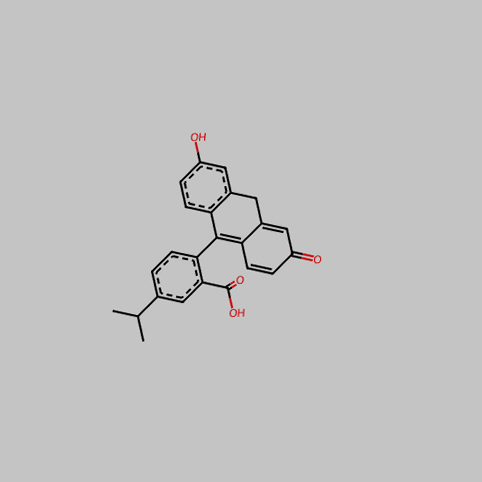 CC(C)c1ccc(C2=C3C=CC(=O)C=C3Cc3cc(O)ccc32)c(C(=O)O)c1